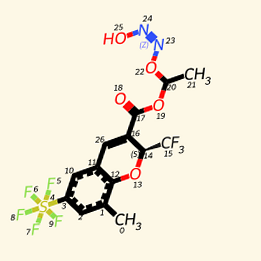 Cc1cc(S(F)(F)(F)(F)F)cc2c1O[C@H](C(F)(F)F)C(C(=O)OC(C)O/N=N\O)=C2